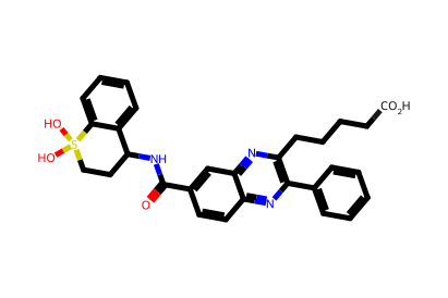 O=C(O)CCCCc1nc2cc(C(=O)NC3CCS(O)(O)c4ccccc43)ccc2nc1-c1ccccc1